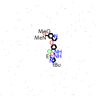 CCn1nc(C(C)(C)C)cc1NC(=O)Nc1ccc(Oc2ccnc3cc(OC)c(C(=O)NC)cc23)cc1Cl